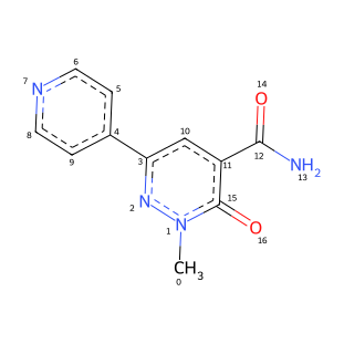 Cn1nc(-c2ccncc2)cc(C(N)=O)c1=O